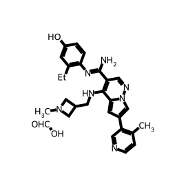 CCc1cc(O)ccc1N=C(N)c1cnn2cc(-c3cnccc3C)cc2c1NCC1CN(C)C1.O=CO